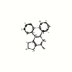 CC1=[N+]C(c2ccccc2)=C(c2ccccc2)C2=C1CCC2